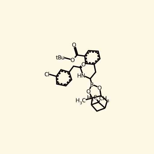 CC(C)(C)OC(=O)c1cccc(CC(NC(=O)Cc2cccc(Cl)c2)B2OC3CC4CC(C4(C)C)C3(C)O2)c1